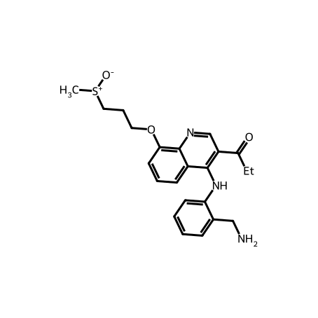 CCC(=O)c1cnc2c(OCCC[S+](C)[O-])cccc2c1Nc1ccccc1CN